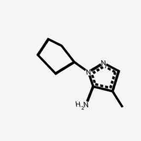 Cc1cnn(C2CCCC2)c1N